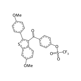 COc1ccc(-c2sc3cc(OC)ccc3c2C(=O)c2ccc(OS(=O)(=O)C(F)(F)F)cc2)cc1